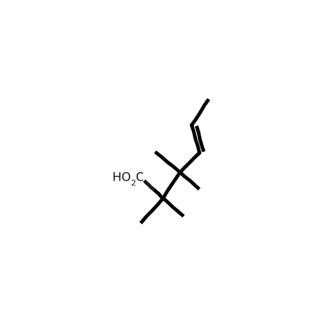 CC=CC(C)(C)C(C)(C)C(=O)O